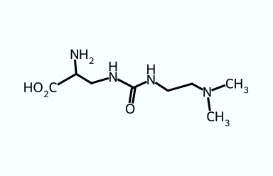 CN(C)CCNC(=O)NCC(N)C(=O)O